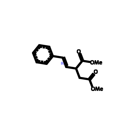 COC(=O)CC(/C=C/c1ccccc1)C(=O)OC